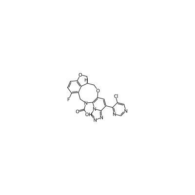 O=C(O)N1Cc2c(F)ccc3c2[C@@H](CO3)COc2cc(-c3ncncc3Cl)c3nncn3c21